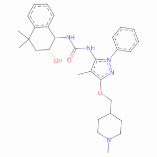 Cc1c(OCC2CCN(C)CC2)nn(-c2ccccc2)c1NC(=O)NC1c2ccccc2C(C)(C)C[C@H]1O